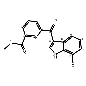 COC(=O)c1cccc(C(=O)c2c[nH]c3c(Cl)cccc23)n1